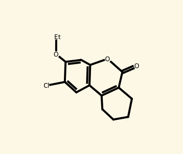 CCOc1cc2oc(=O)c3c(c2cc1Cl)CCCC3